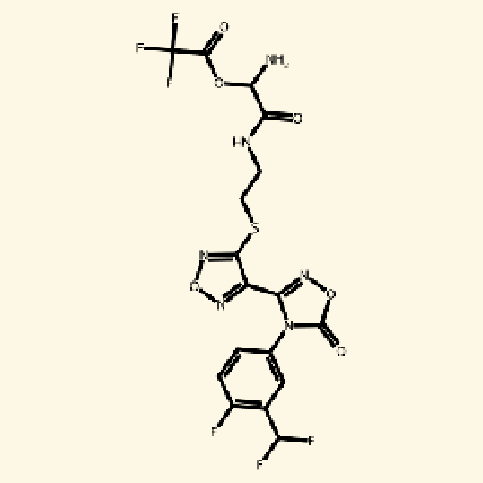 NC(OC(=O)C(F)(F)F)C(=O)NCCSc1nonc1-c1noc(=O)n1-c1ccc(F)c(C(F)F)c1